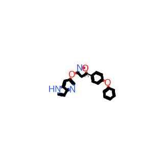 c1ccc(Oc2ccc([C@H]3CC(Oc4cnc5cc[nH]c5c4)=NO3)cc2)cc1